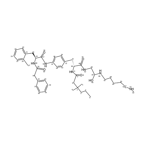 CCCC(C)(C)CC(=O)N[C@H](Cc1ccc(NC(=O)[C@H](Cc2ccccc2C)NC(=O)Cc2ccccc2)cc1)C(=O)NCC(O)NCCCCCNC